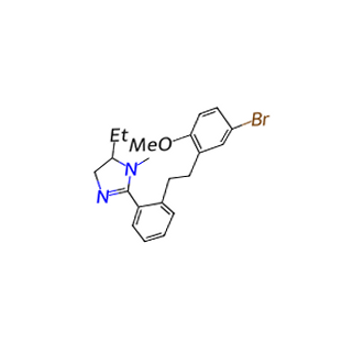 CCC1CN=C(c2ccccc2CCc2cc(Br)ccc2OC)N1C